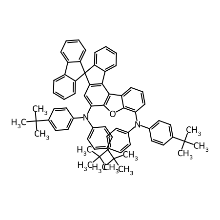 CC(C)(C)c1ccc(N(c2ccc(C(C)(C)C)cc2)c2cccc3c2oc2c(N(c4ccc(C(C)(C)C)cc4)c4ccc(C(C)(C)C)cc4)cc4c(c23)-c2ccccc2C42c3ccccc3-c3ccccc32)cc1